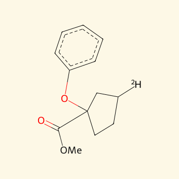 [2H]C1CCC(Oc2ccccc2)(C(=O)OC)C1